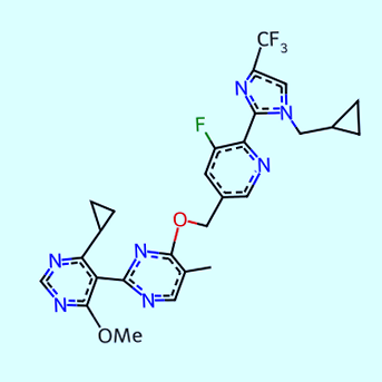 COc1ncnc(C2CC2)c1-c1ncc(C)c(OCc2cnc(-c3nc(C(F)(F)F)cn3CC3CC3)c(F)c2)n1